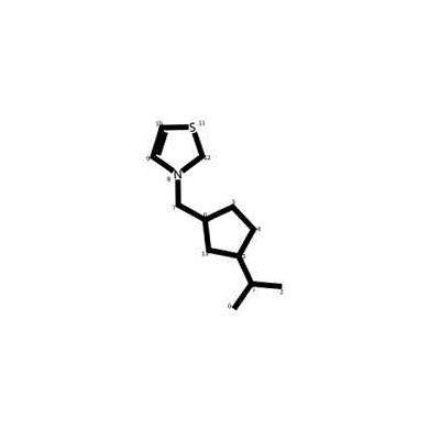 CC(C)C1CCC(CN2C=CSC2)C1